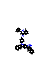 C=N/C(=C\C(=N/Cc1ccc(-n2c3cc4ccccc4cc3c3cc4c(cc32)[nH]c2cc3ccccc3cc24)cc1)c1ccccc1)c1ccccc1